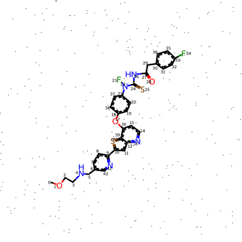 COCCNCc1ccc(-c2cc3nccc(Oc4ccc(N(F)C(=S)NC(=O)Cc5ccc(F)cc5)cc4)c3s2)nc1